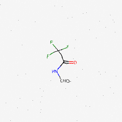 O=[C]NC(=O)C(F)(F)F